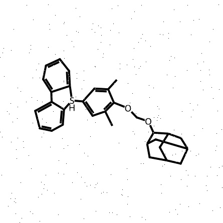 Cc1cc([SH]2c3ccccc3-c3ccccc32)cc(C)c1OCOC1C2CC3CC(C2)CC1C3